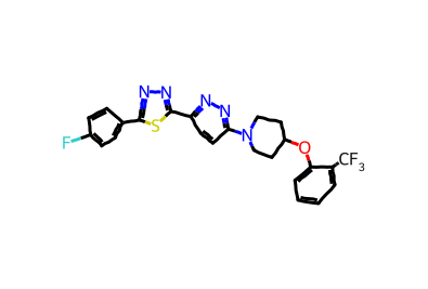 Fc1ccc(-c2nnc(-c3ccc(N4CCC(Oc5ccccc5C(F)(F)F)CC4)nn3)s2)cc1